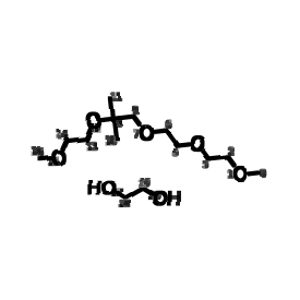 COCCOCCOCC(C)(C)OCCOC.OCCO